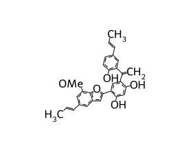 C=C(c1cc(/C=C/C)ccc1O)c1cc(-c2cc3cc(/C=C/C)cc(OC)c3o2)c(O)cc1O